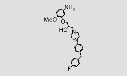 COc1ccc(N)cc1OCC(O)CN1CCN(c2ccc(Cc3ccc(F)cc3)cc2)CC1